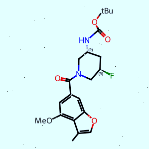 COc1cc(C(=O)N2C[C@H](F)C[C@@H](NC(=O)OC(C)(C)C)C2)cc2occ(C)c12